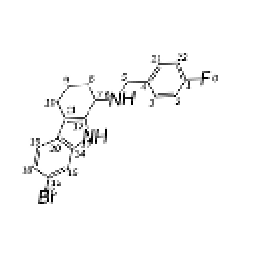 Fc1ccc(CNC2CCCc3c2[nH]c2cc(Br)ccc32)cc1